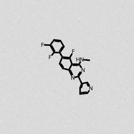 CNc1nc(-c2cccnc2)nc2ccc(-c3cccc(F)c3F)c(F)c12